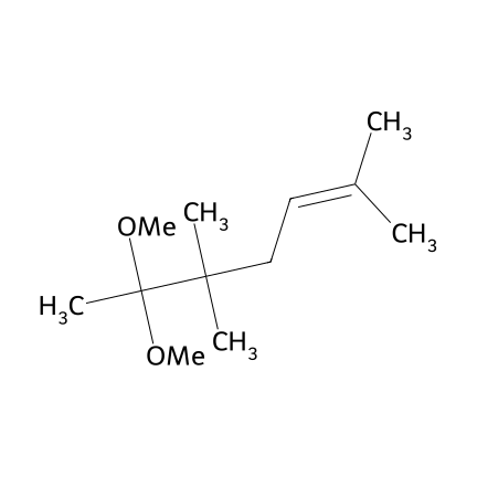 COC(C)(OC)C(C)(C)CC=C(C)C